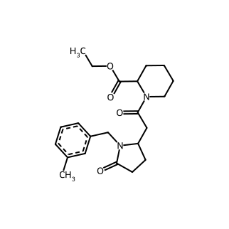 CCOC(=O)C1CCCCN1C(=O)CC1CCC(=O)N1Cc1cccc(C)c1